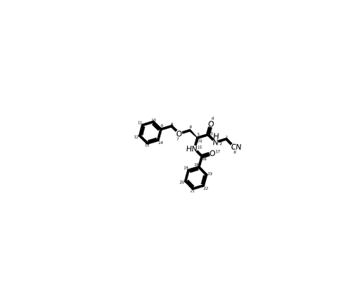 N#CCNC(=O)[C@H](COCc1ccccc1)NC(=O)c1ccccc1